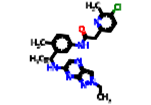 CCn1cc2ncc(N[C@@H](C)c3cc(NC(=O)Cc4ccc(Cl)c(C)n4)ccc3C)nc2n1